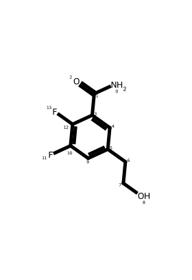 NC(=O)c1cc(CCO)cc(F)c1F